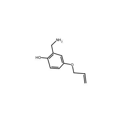 C=CCOc1ccc(O)c(CN)c1